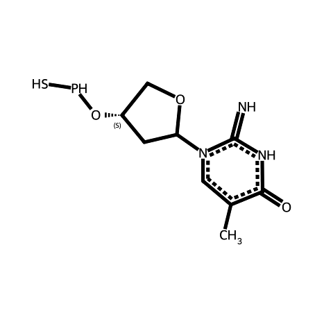 Cc1cn(C2C[C@H](OPS)CO2)c(=N)[nH]c1=O